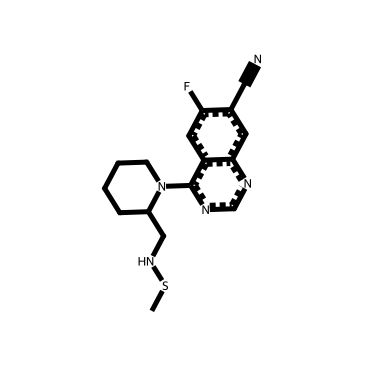 CSNCC1CCCCN1c1ncnc2cc(C#N)c(F)cc12